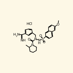 COc1ccc2cc(S(=O)(=O)NN(Cc3cccc(C(=N)N)c3)C(=O)N3CCCCC3C)ccc2c1.Cl